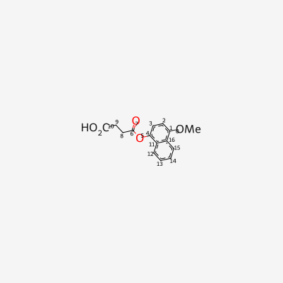 COc1ccc(OC(=O)CCC(=O)O)c2ccccc12